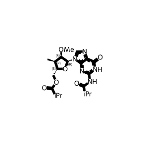 CO[C@@H]1[C@H](C)[C@@H](COC(=O)C(C)C)O[C@H]1n1cnc2c(=O)[nH]c(NC(=O)C(C)C)nc21